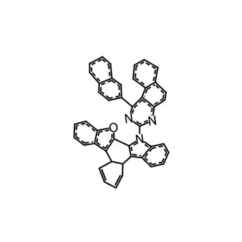 C1=CC2c3c(oc4ccccc34)-c3c(c4ccccc4n3-c3nc(-c4ccc5ccccc5c4)c4c(ccc5ccccc54)n3)C2C=C1